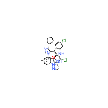 C[C@@H](c1ccc(Cl)cc1)n1cnc(-c2ccccc2)c1-c1c(C(=O)Nc2ccnn2-c2ccccc2)[nH]c2cc(Cl)ccc12